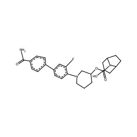 NC(=O)c1ccc(-c2ccc(N3CCCC(OC(=O)N4C5CCC4CC(O)C5)C3)c(F)c2)cc1